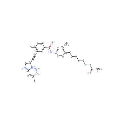 COC(=O)CCCCCCCc1ccc(NC(=O)c2ccc(C)c(C#Cc3cnc4cc(C)cnn34)c2)cc1C(F)(F)F